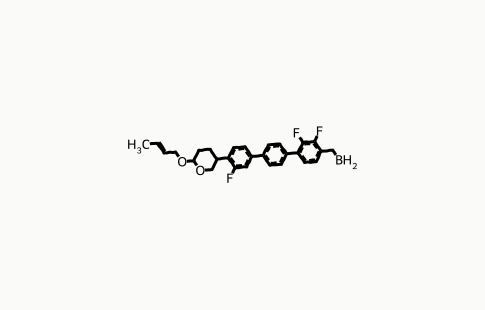 BCc1ccc(-c2ccc(-c3ccc(C4CCC(OC/C=C/C)OC4)c(F)c3)cc2)c(F)c1F